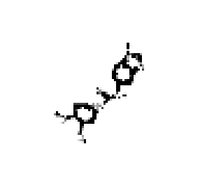 COc1ccc(NC(=S)Nc2ccc3[nH]cnc3c2)cc1OC